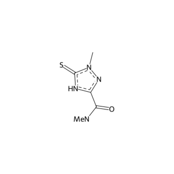 CNC(=O)c1nn(C)c(=S)[nH]1